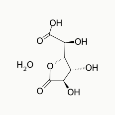 O.O=C(O)[C@@H](O)[C@H]1OC(=O)[C@H](O)[C@H]1O